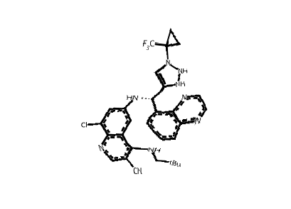 CC(C)(C)CNc1c(C#N)cnc2c(Cl)cc(N[C@H](C3=CN(C4(C(F)(F)F)CC4)NN3)c3cccc4nccnc34)cc12